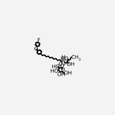 CCC[C@@H](O)[C@@H](O)[C@H](COC1OC(CO)C(O)C(O)C1O)NC(=O)CCCCCCCCCCc1ccc(Oc2ccc(F)cc2)cc1